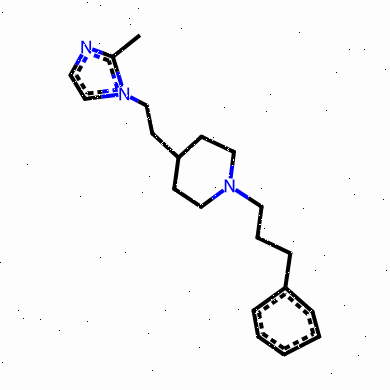 Cc1nccn1CCC1CCN(CCCc2ccccc2)CC1